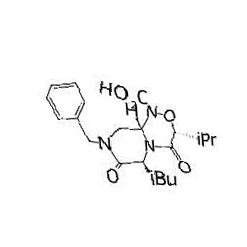 CCC(C)[C@H]1C(=O)N(Cc2ccccc2)C[C@@H]2N(C(=O)O)O[C@H](C(C)C)C(=O)N12